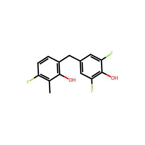 Cc1c(F)ccc(Cc2cc(F)c(O)c(F)c2)c1O